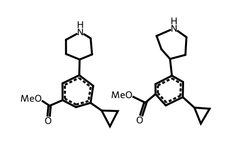 COC(=O)c1cc(C2CCNCC2)cc(C2CC2)c1.COC(=O)c1cc(C2CCNCC2)cc(C2CC2)c1